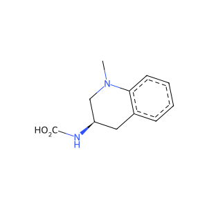 CN1C[C@H](NC(=O)O)Cc2ccccc21